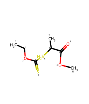 CCOC(=S)[SH2]C(C)C(=O)OC